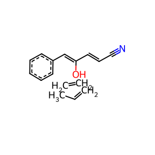 C=C.C=CC.N#CC=CC(O)=Cc1ccccc1